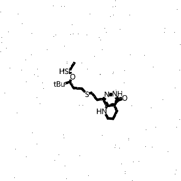 C[SiH](C)OC(CCSCCc1n[nH]c(=O)c2c1NCCC2)C(C)(C)C